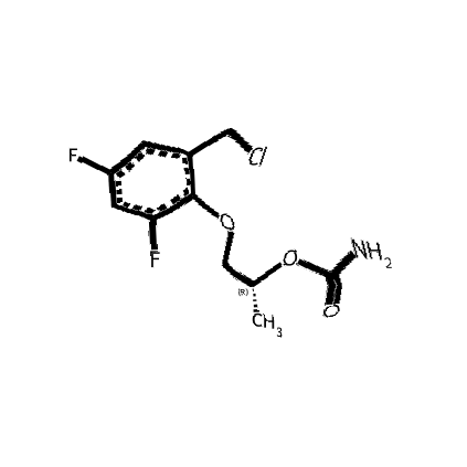 C[C@H](COc1c(F)cc(F)cc1CCl)OC(N)=O